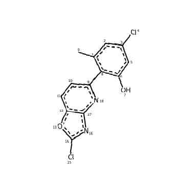 Cc1cc(Cl)cc(O)c1-c1ccc2oc(Cl)nc2n1